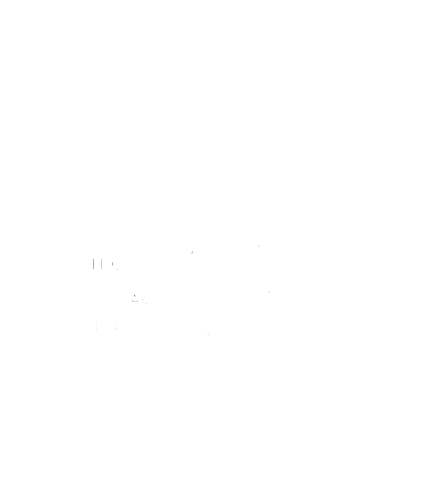 C[As](C)c1ccc(C=O)c2ccccc12